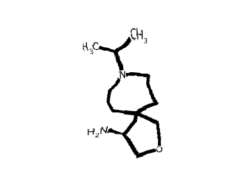 CC(C)N1CCC2(CC1)COC[C@H]2N